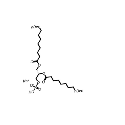 CCCCCCCCCCCCCCCCCC(=O)OC[C@@H](COP(=O)([O-])O)OC(=O)CCCCCCCCCCCCCCCCC.[Na+]